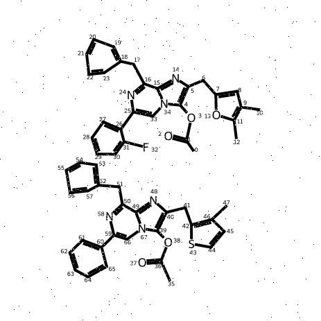 CC(=O)Oc1c(Cc2cc(C)c(C)o2)nc2c(Cc3ccccc3)nc(-c3ccccc3F)cn12.CC(=O)Oc1c(Cc2sccc2C)nc2c(Cc3ccccc3)nc(-c3ccccc3)cn12